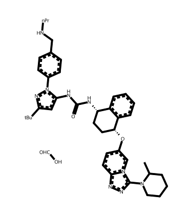 CCCNCc1ccc(-n2nc(C(C)(C)C)cc2NC(=O)N[C@H]2CC[C@@H](Oc3ccc4nnc(N5CCCCC5C)n4c3)c3ccccc32)cc1.O=CO